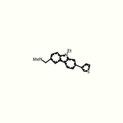 CCn1c2ccc(CNC)cc2c2ccc(-c3ccsc3)cc21